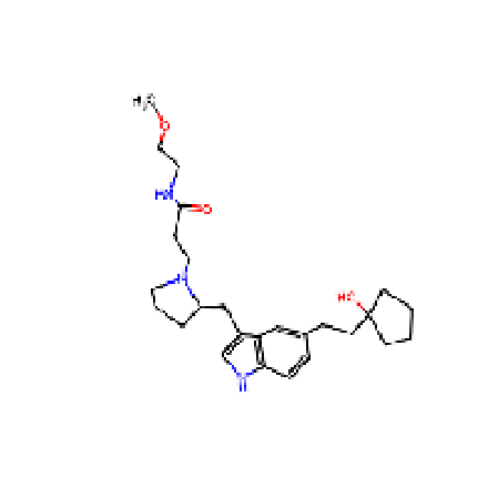 COCCNC(=O)CCN1CCC[C@@H]1Cc1c[nH]c2ccc(CCC3(O)CCCC3)cc12